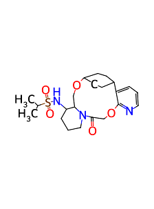 CC(C)S(=O)(=O)NC1CCCN2C(=O)COc3ncccc3C3CCC(CC3)OCC12